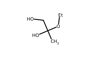 [CH2]COC(C)(O)CO